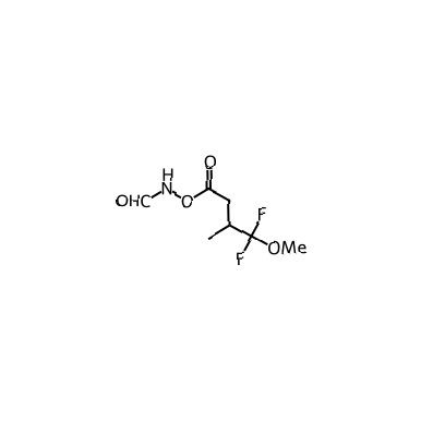 COC(F)(F)C(C)CC(=O)ONC=O